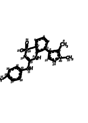 Cc1c(-c2cccc3c2NC(Nc2ccc(C(C)C)cc2)=NS3(=O)=O)cnn1C